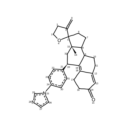 C=C1CCOC12CCC1C3CCC4=CC(=O)CCC4=C3[C@@H](c3ccc(-n4ccnc4)cc3)C[C@@]12C